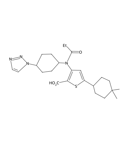 CCC(=O)N(c1cc(C2CCC(C)(C)CC2)sc1C(=O)O)C1CCC(n2ccnn2)CC1